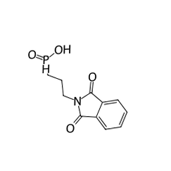 O=C1c2ccccc2C(=O)N1CCC[PH](=O)O